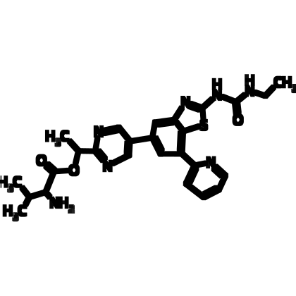 CCNC(=O)Nc1nc2cc(-c3cnc(C(C)OC(=O)C(N)C(C)C)nc3)cc(-c3ccccn3)c2s1